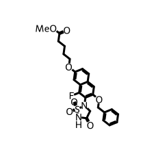 COC(=O)CCCCOc1ccc2cc(OCc3ccccc3)c(N3CC(=O)NS3(=O)=O)c(F)c2c1